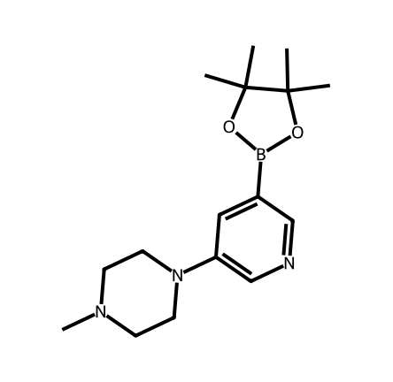 CN1CCN(c2cncc(B3OC(C)(C)C(C)(C)O3)c2)CC1